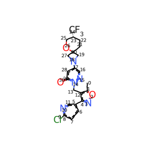 Cc1onc(-c2ccc(Cl)nc2)c1Cn1ncc(N2CC3(CC[C@@H](C(F)(F)F)CO3)C2)cc1=O